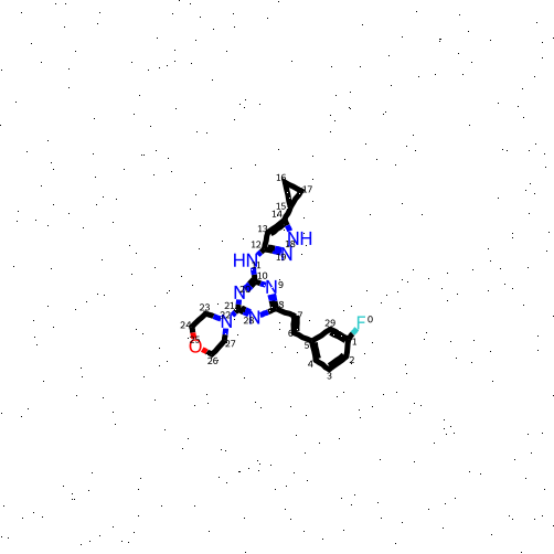 Fc1cccc(/C=C/c2nc(Nc3cc(C4CC4)[nH]n3)nc(N3CCOCC3)n2)c1